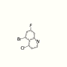 Fc1cc(Br)c2c(Cl)ccnc2c1